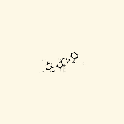 CCOC(=O)C(O[P@]1(=O)OC[C@H]2O[C@@H](n3cnc4c(OCC)nc(N)nc43)[C@@H](C)[C@@H]2O1)c1ccccc1